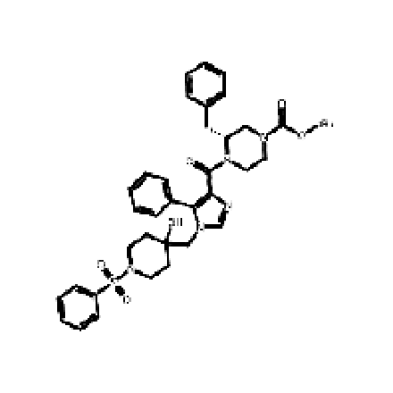 CC(C)(C)OC(=O)N1CCN(C(=O)c2ncn(CC3(O)CCN(S(=O)(=O)c4ccccc4)CC3)c2-c2ccccc2)[C@H](Cc2ccccc2)C1